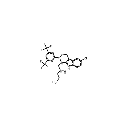 COC[C@@H](O)C[C@@H]1c2[nH]c3ccc(Cl)cc3c2CCN1c1nc(C(F)(F)F)nc(C(F)(F)F)n1